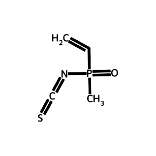 C=CP(C)(=O)N=C=S